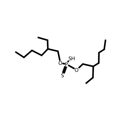 CCCCC(CC)COP(=S)(S)OCC(CC)CCCC